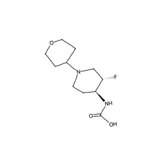 O=C(O)N[C@H]1CCN(C2CCOCC2)C[C@@H]1F